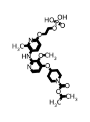 COc1c(OC2CCN(C(=O)OC(C)C)CC2)ccnc1Nc1ccc(OCCOP(=O)(O)O)nc1C